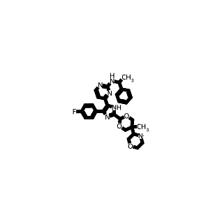 CC(Nc1nccc(-c2[nH]c(C3OCC(C)(C4COCC[N]4)CO3)nc2-c2ccc(F)cc2)n1)c1ccccc1